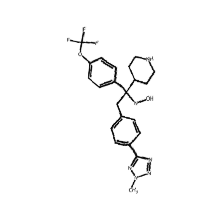 Cn1nnc(-c2ccc(CC([N]O)(c3ccc(OC(F)(F)F)cc3)C3CCNCC3)cc2)n1